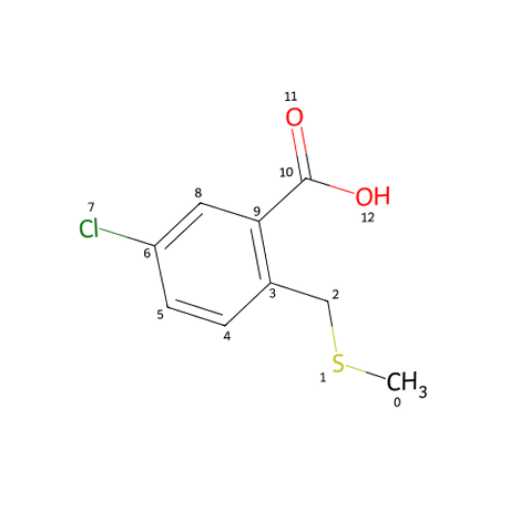 CSCc1ccc(Cl)cc1C(=O)O